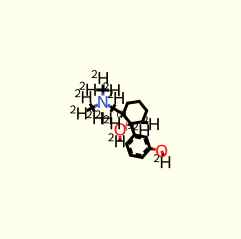 [2H]Oc1cccc([C@]2(O[2H])C([2H])([2H])CCC[C@@]2([2H])C([2H])([2H])N(C([2H])([2H])[2H])C([2H])([2H])[2H])c1